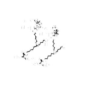 CCCCCCCCCCSC(CCCC)C(=O)OCCCCCCN(CCCCO)CCCCCCOC(CCCCCCC)O[Si](C)(C)O[Si](C)(C)OCCCCCCCC.CCCCCCCCCCSC(CCCC)C(=O)OCCCCCCN(CCCCO)CCCCCCOC(CCCCCCC)O[Si](C)(C)O[Si](C)(C)OCCCCCCCC